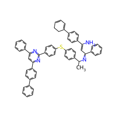 CC(/N=C(\C=C(/N)c1ccc(C2=CC=CCC2)cc1)c1ccccc1)c1ccc(Sc2ccc(-c3nc(-c4ccccc4)cc(-c4ccc(-c5ccccc5)cc4)n3)cc2)cc1